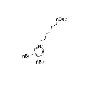 CCCCCCCCCCCCCCCC[n+]1ccc(CCCC)c(CCCC)c1